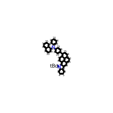 CC(C)(C)n1c2ccccc2c2cc3ccc4ccc(-c5ccc(N(c6ccccc6)c6cccc7ccccc67)cc5)c5ccc(c3c45)c21